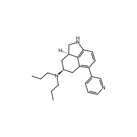 CCCN(CCC)[C@@H]1Cc2c(-c3cccnc3)ccc3c2[C@H](CN3)C1